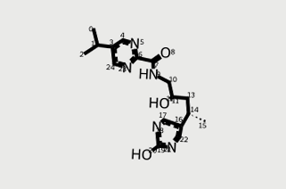 CC(C)c1cnc(C(=O)NCC(O)C[C@H](C)c2cnc(O)nc2)nc1